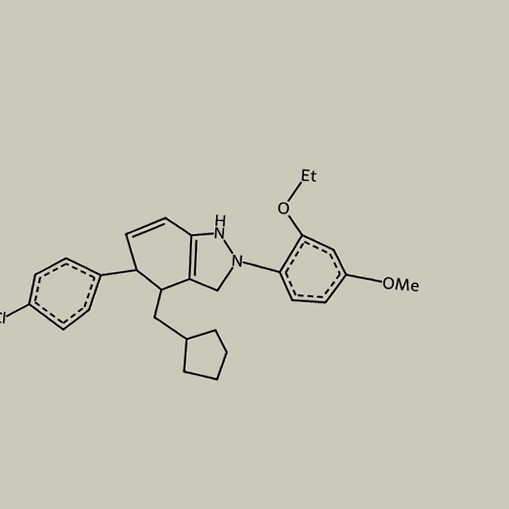 CCOc1cc(OC)ccc1N1CC2=C(C=CC(c3ccc(Cl)cc3)C2CC2CCCC2)N1